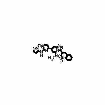 CN(C)c1cc(-c2ccnc(Nc3ccnn3C)n2)cc2nnc(C(CC=O)Cc3ccccc3)n12